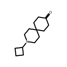 O=C1CCC2(CC1)CCN(C1CCC1)CC2